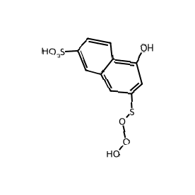 O=S(=O)(O)c1ccc2c(O)cc(SOOO)cc2c1